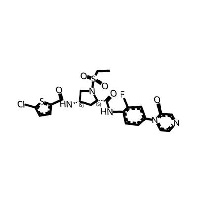 CCS(=O)(=O)N1C[C@@H](NC(=O)c2ccc(Cl)s2)C[C@H]1C(=O)Nc1ccc(-n2ccncc2=O)cc1F